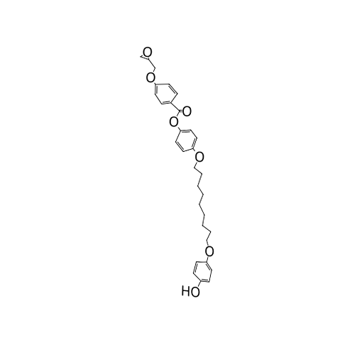 O=C(Oc1ccc(OCCCCCCCCCOc2ccc(O)cc2)cc1)c1ccc(OCC2CO2)cc1